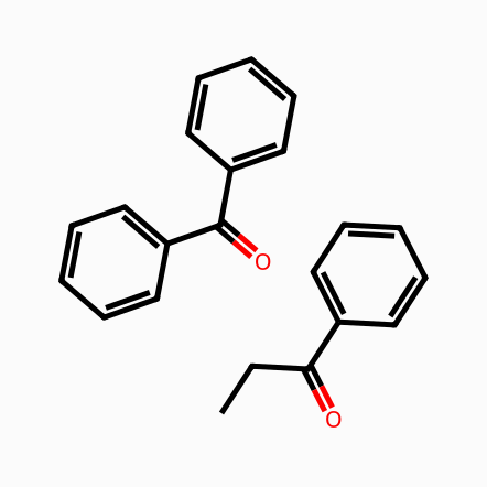 CCC(=O)c1ccccc1.O=C(c1ccccc1)c1ccccc1